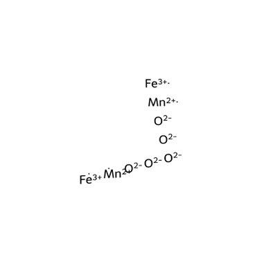 [Fe+3].[Fe+3].[Mn+2].[Mn+2].[O-2].[O-2].[O-2].[O-2].[O-2]